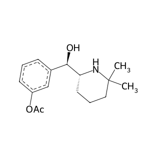 CC(=O)Oc1cccc([C@@H](O)[C@H]2CCCC(C)(C)N2)c1